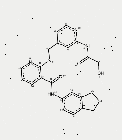 O=C(CO)Nc1cc(CSc2ncccc2C(=O)Nc2ccc3c(c2)CCC3)ccn1